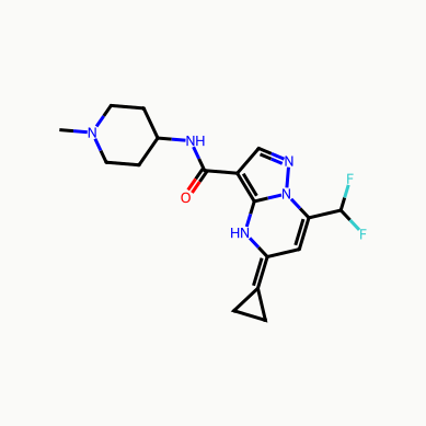 CN1CCC(NC(=O)c2cnn3c2NC(=C2CC2)C=C3C(F)F)CC1